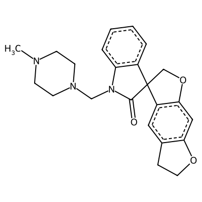 CN1CCN(CN2C(=O)C3(COc4cc5c(cc43)CCO5)c3ccccc32)CC1